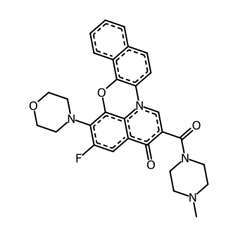 CN1CCN(C(=O)c2cn3c4c(c(N5CCOCC5)c(F)cc4c2=O)Oc2c-3ccc3ccccc23)CC1